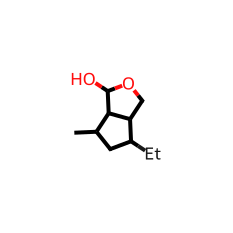 CCC1CC(C)C2C(O)OCC12